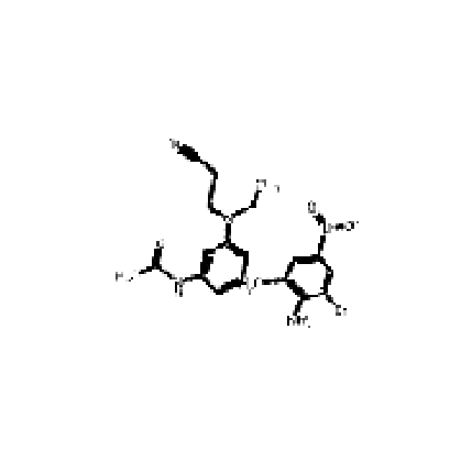 CCN(CCC#N)c1cccc(NC(C)=O)c1.Cc1cc([N+](=O)[O-])cc(Br)c1N